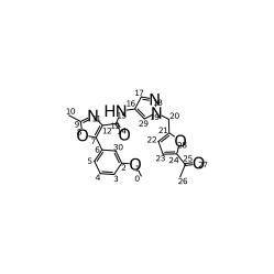 COc1cccc(-c2oc(C)nc2C(=O)Nc2cnn(Cc3ccc(C(C)=O)o3)c2)c1